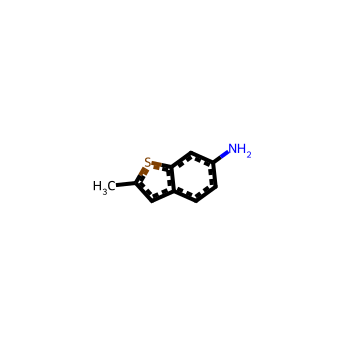 Cc1cc2ccc(N)cc2s1